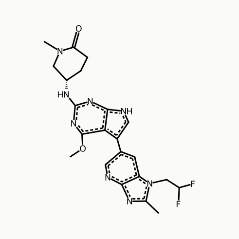 COc1nc(N[C@H]2CCC(=O)N(C)C2)nc2[nH]cc(-c3cnc4nc(C)n(CC(F)F)c4c3)c12